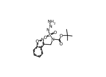 CC(C)(C)OC(=O)N(Cc1noc2ccccc12)S(=O)(=O)N=NN